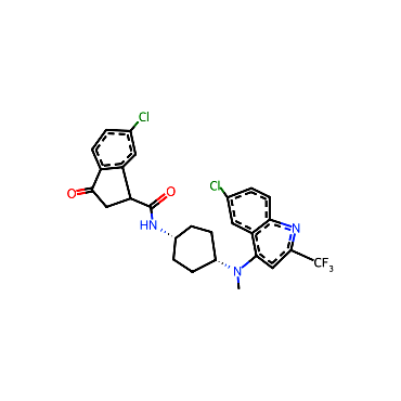 CN(c1cc(C(F)(F)F)nc2ccc(Cl)cc12)[C@H]1CC[C@@H](NC(=O)C2CC(=O)c3ccc(Cl)cc32)CC1